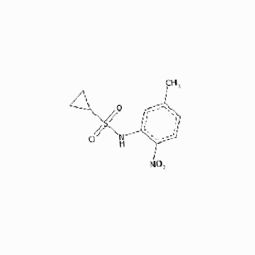 Cc1ccc([N+](=O)[O-])c(NS(=O)(=O)C2CC2)c1